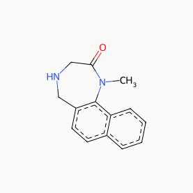 CN1C(=O)CNCc2ccc3ccccc3c21